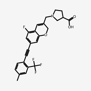 Cc1ccc(C#Cc2cc(F)c3c(c2)OCC(CN2CCC(C(=O)O)C2)=C3)c(C(F)(F)F)c1